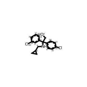 OCC(NCC1CC1)(c1ccc(Cl)cc1)c1cccc(Cl)c1